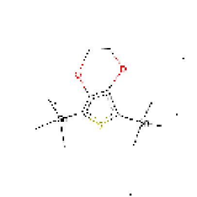 [CH3][Sn]([CH3])([CH3])[c]1s[c]([Sn]([CH3])([CH3])[CH3])c2c1OCCO2